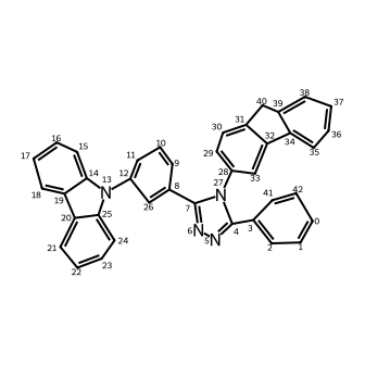 c1ccc(-c2nnc(-c3cccc(-n4c5ccccc5c5ccccc54)c3)n2-c2ccc3c(c2)-c2ccccc2C3)cc1